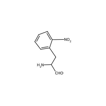 NC([C]=O)Cc1ccccc1[N+](=O)[O-]